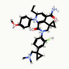 CCC1C=C(C(N)=O)C2=C(C(=O)N(c3ccc(C4(CN(C)C)CC4)cc3F)CC23CC3)N1c1ccc(OC)cc1